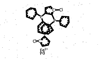 Cl[c-]1ccc(P(c2ccccc2)c2ccccc2)c1P(c1ccccc1)c1ccccc1.Cl[c-]1cccc1.[Fe+2].[Pd]